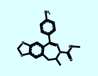 CNC(=O)N1N=C(c2ccc(N)cc2)c2cc3c(cc2CC1C)OCO3